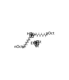 CCCCCCCC/C=C\CCCCCCCCOP(=O)(O)OCCCCCCCC/C=C\CCCCCCCC.CCOP(=O)(OCC)OCC